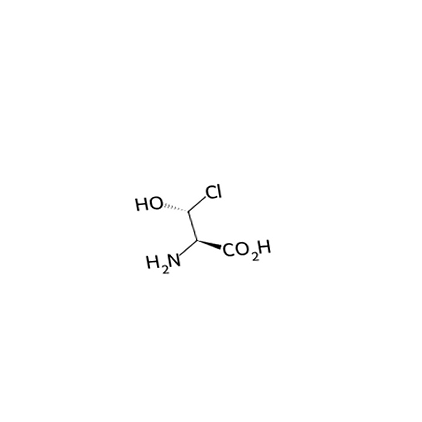 N[C@H](C(=O)O)[C@H](O)Cl